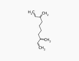 C=CC(=C)CCCCC(=C)C=C